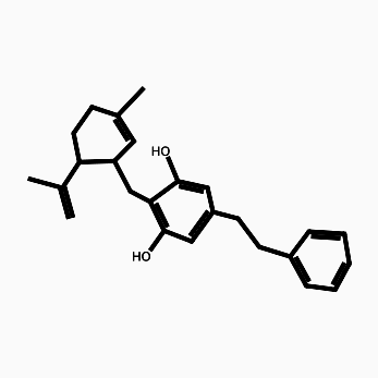 C=C(C)C1CCC(C)=CC1Cc1c(O)cc(CCc2ccccc2)cc1O